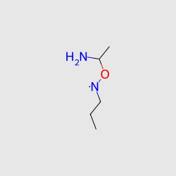 CCC[N]OC(C)N